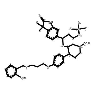 COc1ccccc1COCCCOc1ccc(C2CCN(C(=O)O)CC2OC(CCO[Si](C(C)C)(C(C)C)C(C)C)c2ccc3c(c2)NC(=O)C3(C)C)cc1